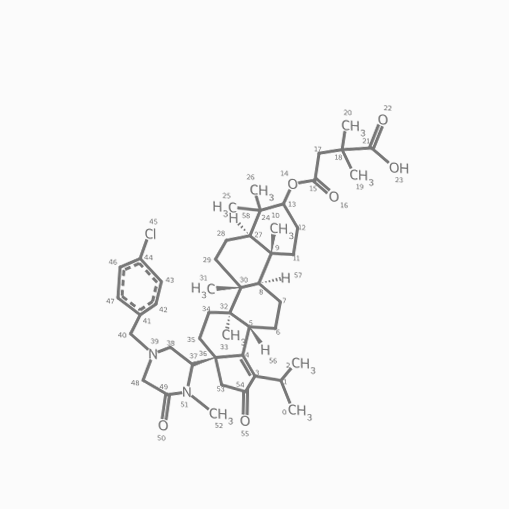 CC(C)C1=C2[C@H]3CC[C@@H]4[C@@]5(C)CCC(OC(=O)CC(C)(C)C(=O)O)C(C)(C)[C@@H]5CC[C@@]4(C)[C@]3(C)CC[C@@]2(C2CN(Cc3ccc(Cl)cc3)CC(=O)N2C)CC1=O